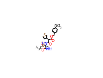 C[S+]([O-])C1(NC(=O)C(C(=O)OCc2ccc([N+](=O)[O-])cc2)c2ccsc2)CNC1=O